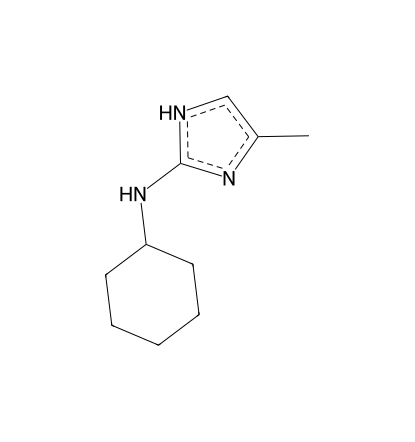 Cc1c[nH]c(NC2CCCCC2)n1